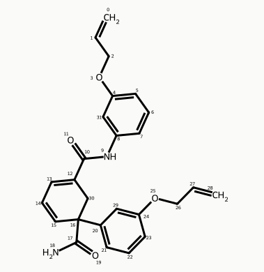 C=CCOc1cccc(NC(=O)C2=CC=CC(C(N)=O)(c3cccc(OCC=C)c3)C2)c1